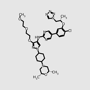 COCCOCCOc1nn(C2CCC(N3C[C@@H](C)O[C@@H](C)C3)CC2)cc1Nc1ncc(-c2ccc(Cl)c(O[C@@H](C)Cn3cnnn3)c2)cn1